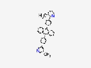 Cc1cncc(-c2ccc(-c3c4ccccc4c(-c4ccc(-c5ncccc5C)cc4)c4ccccc34)cc2)c1